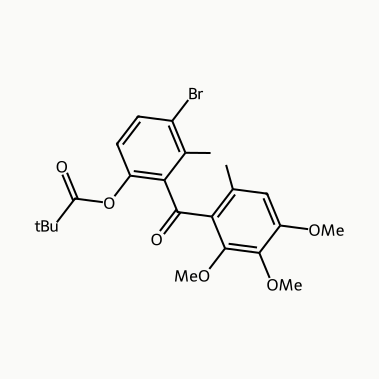 COc1cc(C)c(C(=O)c2c(OC(=O)C(C)(C)C)ccc(Br)c2C)c(OC)c1OC